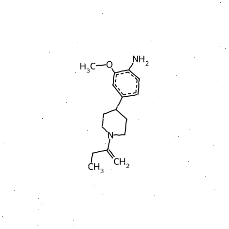 C=C(CC)N1CCC(c2ccc(N)c(OC)c2)CC1